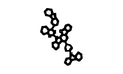 C1=CC(c2cc3c4ccccc4oc3c3c2c2ccccc2n3-c2nc(-c3ccc4sc5ccccc5c4c3)c3ccccc3n2)CC=C1n1c2ccccc2c2ccccc21